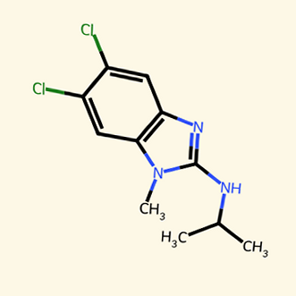 CC(C)Nc1nc2cc(Cl)c(Cl)cc2n1C